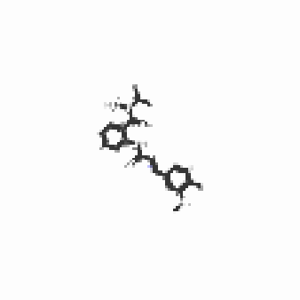 COc1cc(/C=C/C(=O)Nc2ccccc2C(=O)N(N)C(C)C)ccc1C